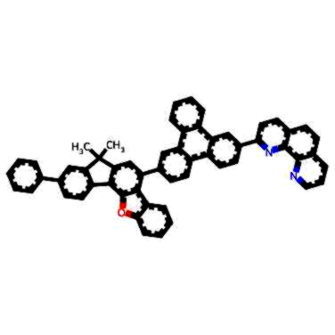 CC1(C)c2cc(-c3ccccc3)ccc2-c2c1cc(-c1ccc3c4ccc(-c5ccc6ccc7cccnc7c6n5)cc4c4ccccc4c3c1)c1c2oc2ccccc21